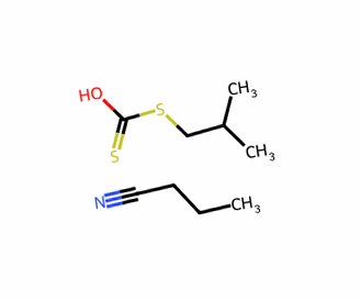 CC(C)CSC(O)=S.CCCC#N